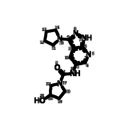 O=C(Nc1cnc2[nH]nc(N3CCCC3)c2c1)N1CCC(O)C1